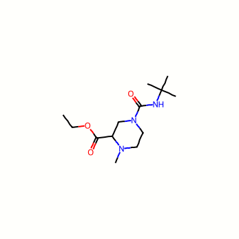 CCOC(=O)C1CN(C(=O)NC(C)(C)C)CCN1C